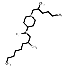 CCCCCCC(C)CN(C)C1CCN(CC(C)CCCC)CC1